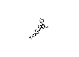 CCn1nc(C)cc1NC(=O)Cn1cnc2c(N3CCOCC3)nc(N)nc21